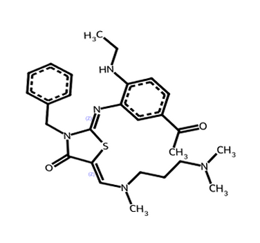 CCNc1ccc(C(C)=O)cc1/N=C1\S/C(=C\N(C)CCCN(C)C)C(=O)N1Cc1ccccc1